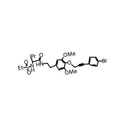 CCS(=O)(=O)NC(C(=O)NCCc1cc(OC)c(OCC#Cc2ccc(Br)cc2)c(OC)c1)C(C)C